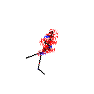 CCCCCCCC/C=C\CCCCCCCCCCCCCC(=O)N[C@@H](CO[C@@H]1OC(CO)[C@@H](O[C@@H]2OC(CO)[C@H](O)[C@H](O[C@@H]3OC(CO)[C@@H](O[C@@H]4OC(CO)[C@H](O)[C@H](O[C@@H]5OC(CO)[C@@H](O[C@H]6OC(C)[C@@H](O)C(O)[C@@H]6O)[C@H](O)C5NC(C)=O)C4O)[C@H](O[C@H]4OC(C)[C@@H](O)C(O)[C@@H]4O)C3NC(C)=O)C2O)[C@H](O)C1O)[C@H](O)/C=C/CCCCCCCCCCCCC